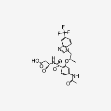 CC(=O)Nc1ccc(S(=O)(=O)NC(C=O)CC(=O)O)c(O[C@H](C)Cn2cnc3cc(C(F)(F)F)ccc32)c1